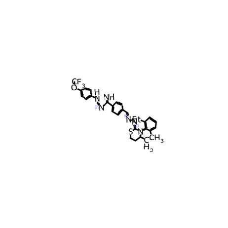 CCc1cccc(C)c1N1/C(=N/N=C/c2ccc(C(=N)/N=C\Nc3ccc(OC(F)(F)F)cc3)cc2)SCCC1C